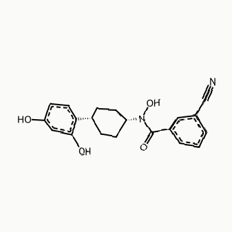 N#Cc1cccc(C(=O)N(O)[C@H]2CC[C@@H](c3ccc(O)cc3O)CC2)c1